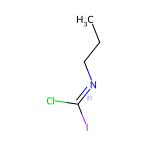 CCC/N=C(\Cl)I